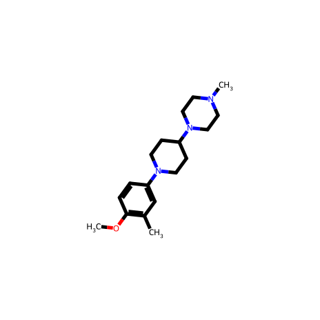 COc1ccc(N2CCC(N3CCN(C)CC3)CC2)cc1C